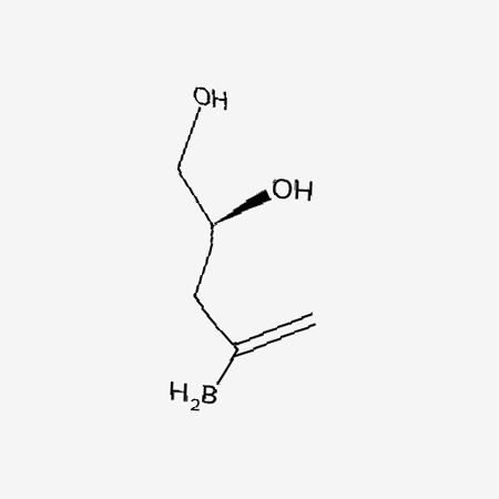 BC(=C)C[C@H](O)CO